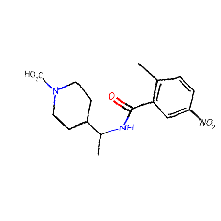 Cc1ccc([N+](=O)[O-])cc1C(=O)NC(C)C1CCN(C(=O)O)CC1